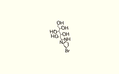 OCC(O)C(O)C(O)[C@@H](O)c1nc2cc(Br)ccc2[nH]1